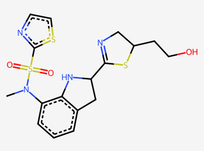 CN(c1cccc2c1NC(C1=NCC(CCO)S1)C2)S(=O)(=O)c1nccs1